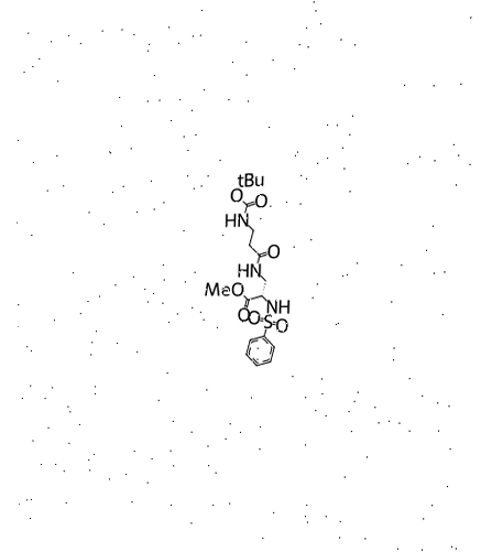 COC(=O)[C@H](CNC(=O)CCNC(=O)OC(C)(C)C)NS(=O)(=O)c1ccccc1